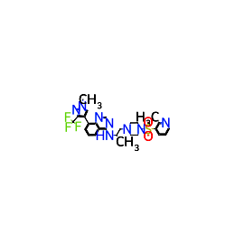 Cc1ncccc1S(=O)(=O)N1CCN(CC(C)Nc2ncnc3c(-c4cn(C)nc4C(F)(F)F)cccc23)CC1